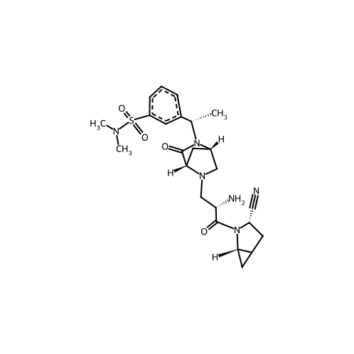 C[C@@H](c1cccc(S(=O)(=O)N(C)C)c1)N1C(=O)[C@@H]2C[C@H]1CN2C[C@H](N)C(=O)N1[C@H](C#N)CC2C[C@@H]21